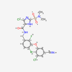 CN(C)S(=O)(=O)c1nc(Cl)c(C(=O)NCc2ccc(Br)c(Oc3cc(Cl)cc(C#N)c3)c2F)[nH]1